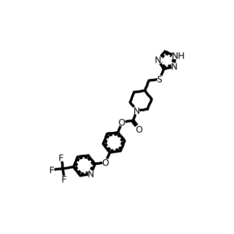 O=C(Oc1ccc(Oc2ccc(C(F)(F)F)cn2)cc1)N1CCC(CSc2nc[nH]n2)CC1